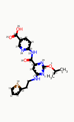 CC(C)Oc1nc(NCCc2cccs2)cc(C(=O)Nc2ccc(C(=O)O)cn2)n1